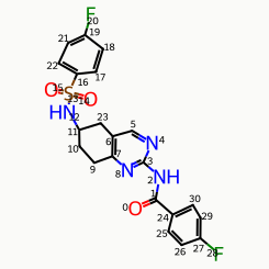 O=C(Nc1ncc2c(n1)CCC(NS(=O)(=O)c1ccc(F)cc1)C2)c1ccc(F)cc1